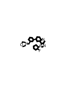 Fc1ccccc1-n1cnc2cnc3ccc(-c4cccc(CN5CCOCC5)c4)cc3c21